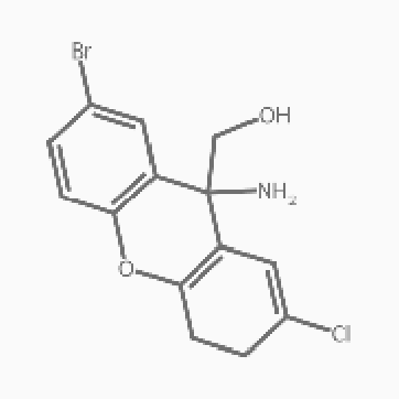 NC1(CO)C2=C(CCC(Cl)=C2)Oc2ccc(Br)cc21